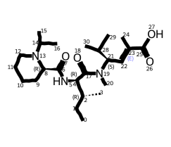 CC[C@@H](C)[C@@H](NC(=O)[C@H]1CCCCN1C(C)C)C(=O)N(C)[C@H](/C=C(\C)C(=O)O)C(C)C